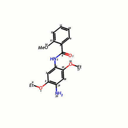 CCOc1cc(NC(=O)c2ccccc2OC)c(OCC)cc1N